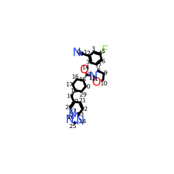 N#Cc1cc(F)cc([C@@H]2CCON2C(=O)[C@H]2CC[C@H](Cc3ccc4ncnn4c3)CC2)c1